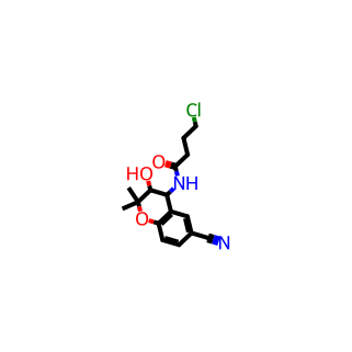 CC1(C)Oc2ccc(C#N)cc2C(NC(=O)CCCCl)C1O